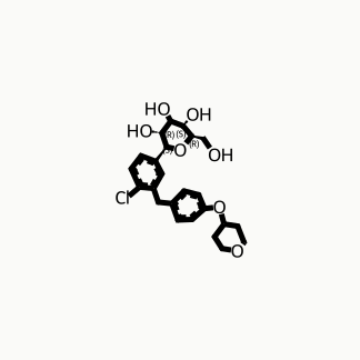 OC[C@H]1O[C@@H](c2ccc(Cl)c(Cc3ccc(OC4CCOCC4)cc3)c2)[C@H](O)C(O)[C@@H]1O